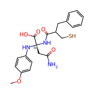 COc1ccc(N[C@@](CC(N)=O)(NC(=O)C(CS)Cc2ccccc2)C(=O)O)cc1